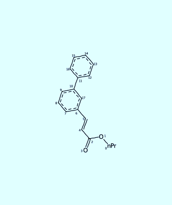 CCCOC(=O)C=Cc1cccc(-c2ccccc2)c1